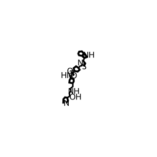 O=S(=O)(Nc1ccc(CCNCC(O)c2cccnc2)cc1)c1ccc(-c2nc(-c3c[nH]c4ccccc34)cs2)cc1